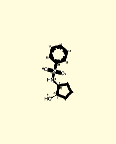 O=S(=O)(N[C@H]1CCC[C@@H]1O)c1ccccc1